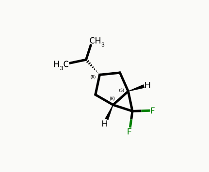 CC(C)[C@H]1C[C@@H]2[C@H](C1)C2(F)F